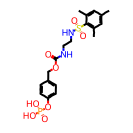 Cc1cc(C)c(S(=O)(=O)NCCNC(=O)OCc2ccc(OP(=O)(O)O)cc2)c(C)c1